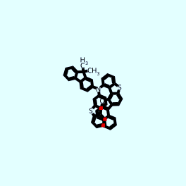 CC1(C)c2ccccc2-c2ccc(N(c3ccc4c(c3)sc3ccccc34)c3cccc4sc5ccc6c(oc7ccc8ccccc8c76)c5c34)cc21